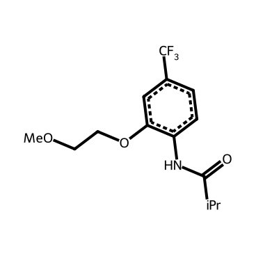 COCCOc1cc(C(F)(F)F)ccc1NC(=O)C(C)C